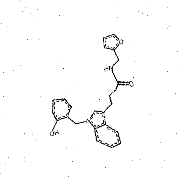 O=C(CCc1cn(Cc2ccccc2O)c2ccccc12)NCc1ccco1